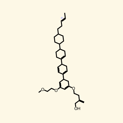 C=C(CO)CCOC1=CC(OCCOC)=CC(C2=CCC(C3=CCC(C4CCC(CC/C=C/C)CC4)CC3)C=C2)C1